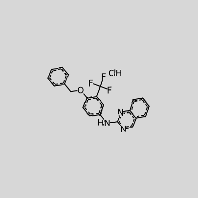 Cl.FC(F)(F)c1cc(Nc2ncc3ccccc3n2)ccc1OCc1ccccc1